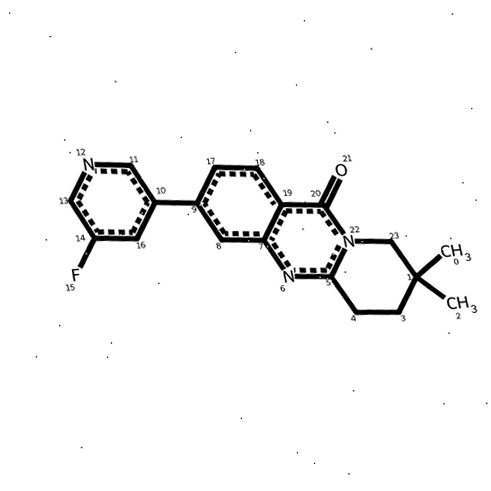 CC1(C)CCc2nc3cc(-c4cncc(F)c4)ccc3c(=O)n2C1